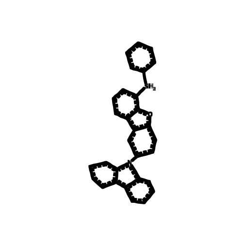 c1ccc([SiH2]c2cccc3c2oc2ccc(-n4c5ccccc5c5ccccc54)cc23)cc1